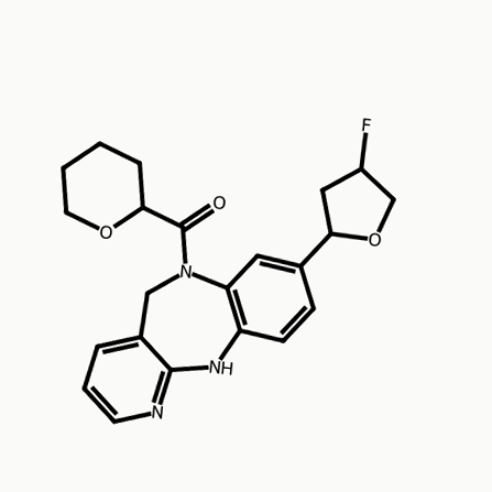 O=C(C1CCCCO1)N1Cc2cccnc2Nc2ccc(C3CC(F)CO3)cc21